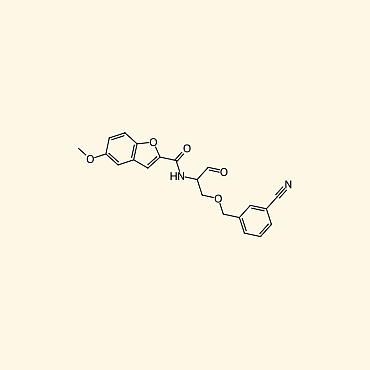 COc1ccc2oc(C(=O)NC(C=O)COCc3cccc(C#N)c3)cc2c1